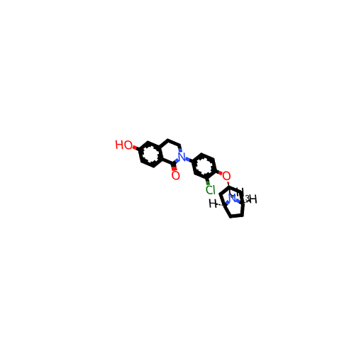 CN1[C@@H]2CC[C@H]1C[C@H](Oc1ccc(N3CCc4cc(O)ccc4C3=O)cc1Cl)C2